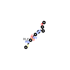 Cc1cc(S(=O)(=O)NC(=O)c2ccc(N3CCN(Cc4ccccc4-c4ccc(Oc5ccccc5)cc4)CC3)cc2)ccc1NCCSc1ccccc1